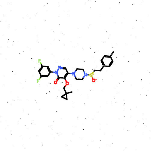 Cc1ccc(CC[S+]([O-])N2CCN(c3cnn(-c4cc(F)cc(F)c4)c(=O)c3OCC3(C)CC3)CC2)cc1